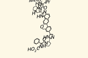 COC(=O)N[C@H](C(=O)N1[C@H](c2nc3ccc4cc5c(cc4c3[nH]2)OCc2cc(-c3cnc(C4CCCN4C(=O)[C@H](NC(=O)O)c4ccccc4)[nH]3)ccc2-5)C[C@@H]2CCC[C@@H]21)C(C)C